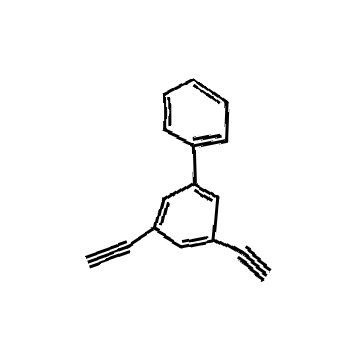 C#Cc1cc(C#C)cc(-c2ccccc2)c1